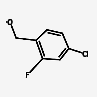 [O]Cc1ccc(Cl)cc1F